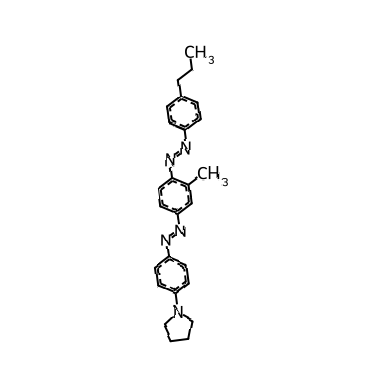 CCCc1ccc(/N=N/c2ccc(/N=N/c3ccc(N4CCCC4)cc3)cc2C)cc1